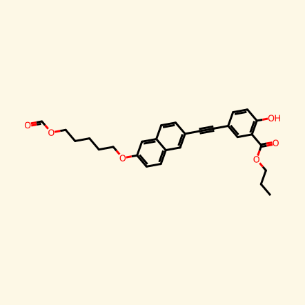 CCCOC(=O)c1cc(C#Cc2ccc3cc(OCCCCCOC=O)ccc3c2)ccc1O